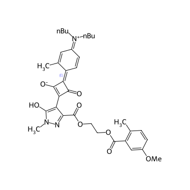 CCCC[N+](CCCC)=C1C=C/C(=C2\C(=O)C(c3c(C(=O)OCCOC(=O)c4cc(OC)ccc4C)nn(C)c3O)=C2[O-])C(C)=C1